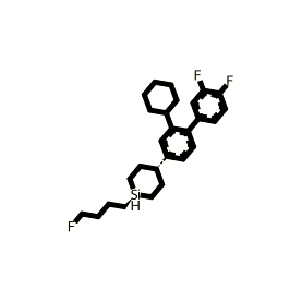 FCCCC[Si@H]1CC[C@H](c2ccc(-c3ccc(F)c(F)c3)c(C3CCCCC3)c2)CC1